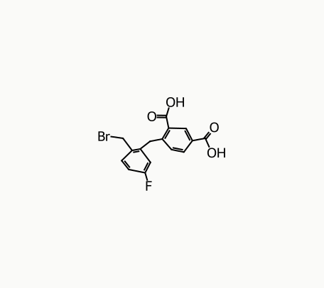 O=C(O)c1ccc(Cc2cc(F)ccc2CBr)c(C(=O)O)c1